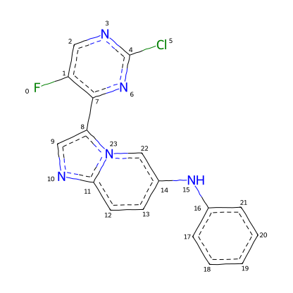 Fc1cnc(Cl)nc1-c1cnc2ccc(Nc3ccccc3)cn12